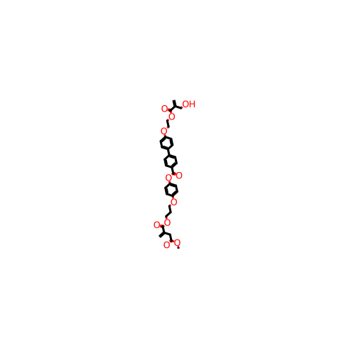 C=C(CO)C(=O)OCCOc1ccc(-c2ccc(C(=O)Oc3ccc(OCCCOC(=O)C(=C)CC(=O)OC)cc3)cc2)cc1